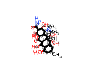 Cc1cc(O)c2c(c1)[C@@](C)(O)[C@@H]1C(=C2O)C(=O)[C@]2(O)C(=O)C(C(N)=O)=C(O)[C@@H](N(C)C)[C@@H]2[C@H]1O